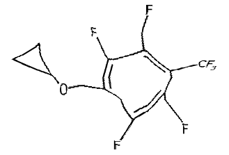 Fc1c(F)c(C(F)(F)F)c(F)c(F)c1OC1CC1